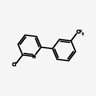 FC(F)(F)c1cccc(-c2cccc(Cl)n2)c1